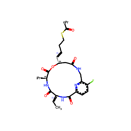 C/C=C1\NC(=O)c2ccc(F)c(n2)CNC(=O)C[C@@H](/C=C/CCSC(=O)CCC)OC(=O)[C@H](C(C)C)NC1=O